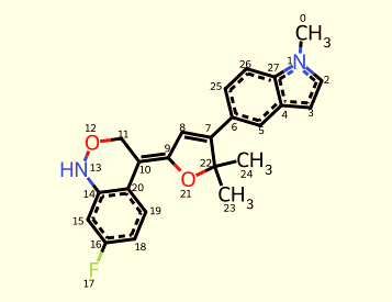 Cn1ccc2cc(C3=C/C(=C4\CONc5cc(F)ccc54)OC3(C)C)ccc21